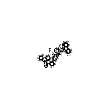 O=C(c1cccc(N2CCN(CCCCC3(C(=O)NCC(F)(F)F)c4ccccc4-c4ccccc43)CC2)c1)N(Cc1ccccc1)C1CCCCC1